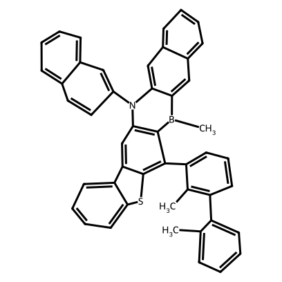 CB1c2cc3ccccc3cc2N(c2ccc3ccccc3c2)c2cc3c(sc4ccccc43)c(-c3cccc(-c4ccccc4C)c3C)c21